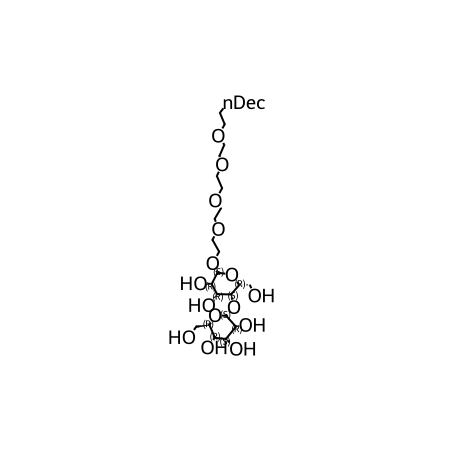 CCCCCCCCCCCCOCCOCCOCCOCCO[C@H]1O[C@H](CO)[C@@H](O[C@@H]2O[C@H](CO)[C@H](O)[C@H](O)[C@H]2O)[C@H](O)[C@H]1O